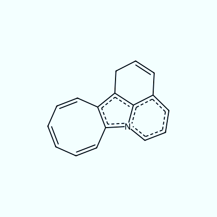 C1=Cc2cccn3c4c(c(c23)C1)\C=C/C=C\C=C/4